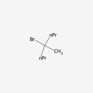 CCCC(C)(Br)CCC